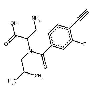 [C]#Cc1ccc(C(=O)N(CC(C)C)C(CN)C(=O)O)cc1F